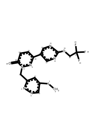 CSc1cnnc(Cn2nc(-c3cnc(OCC(F)(F)F)nc3)ccc2=O)c1